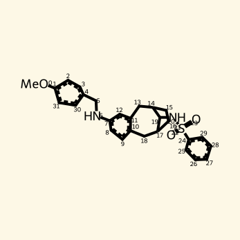 COc1ccc(CNc2ccc3c(c2)CC2CCC(C3)C2NS(=O)(=O)c2ccccc2)cc1